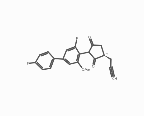 C#CC[C@@H]1CC(=O)C(c2c(F)cc(-c3ccc(F)cc3)cc2OC)C1=O